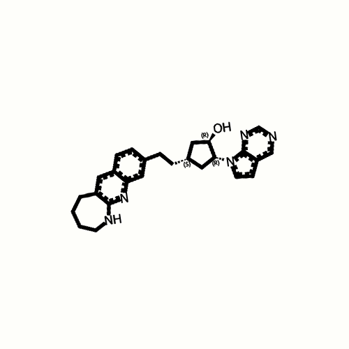 O[C@@H]1C[C@@H](CCc2ccc3cc4c(nc3c2)NCCCC4)C[C@H]1n1ccc2cncnc21